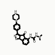 CN(C)NC(=O)Nc1cccc2c1C(=O)C1=C(c3ccc(N4CCNCC4)cc3)N=NC12